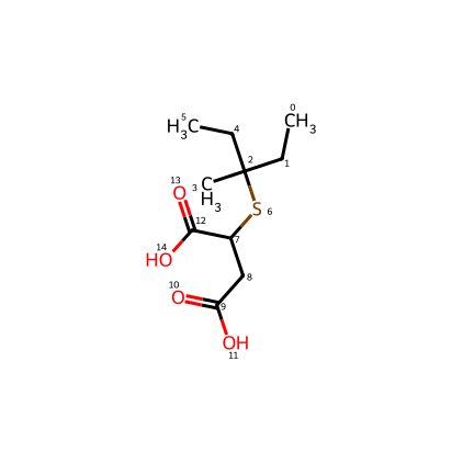 CCC(C)(CC)SC(CC(=O)O)C(=O)O